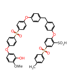 COc1ccc(Oc2ccc(S(=O)(=O)c3ccc(Oc4ccc(Cc5ccc(Oc6ccc(S(=O)(=O)c7ccc(C)cc7)cc6S(=O)(=O)O)cc5)cc4)cc3)cc2)cc1O